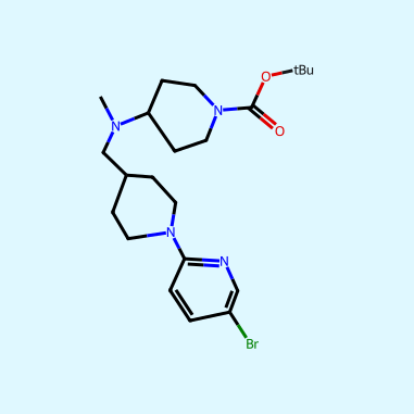 CN(CC1CCN(c2ccc(Br)cn2)CC1)C1CCN(C(=O)OC(C)(C)C)CC1